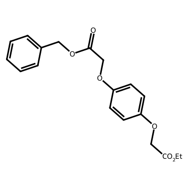 CCOC(=O)COc1ccc(OCC(=O)OCc2ccccc2)cc1